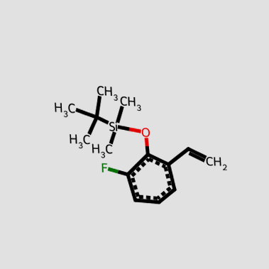 C=Cc1cccc(F)c1O[Si](C)(C)C(C)(C)C